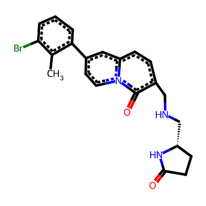 Cc1c(Br)cccc1-c1ccn2c(=O)c(CNC[C@@H]3CCC(=O)N3)ccc2c1